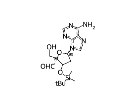 CC(C)(C)[Si](C)(C)OC1C[C@H](n2cnc3c(N)ncnc32)O[C@]1(C=O)CO